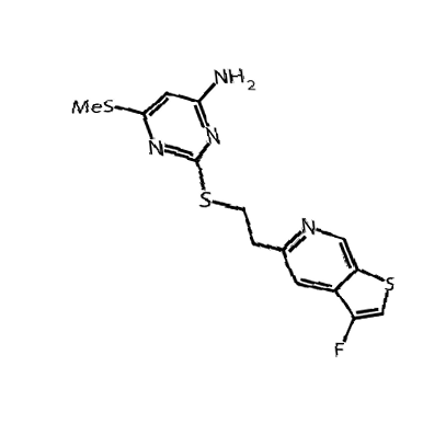 CSc1cc(N)nc(SCCc2cc3c(F)csc3cn2)n1